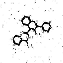 CC(NC(=O)c1c(N)c(-c2ccccc2)nc2ccccc12)c1ccncc1